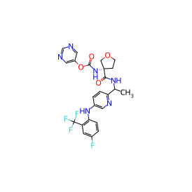 CC(NC(=O)[C@]1(NC(=O)Oc2cncnc2)CCOC1)c1ccc(Nc2ccc(F)cc2C(F)(F)F)cn1